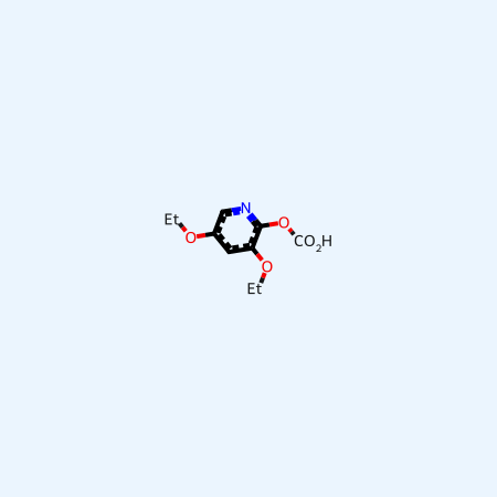 CCOc1cnc(OC(=O)O)c(OCC)c1